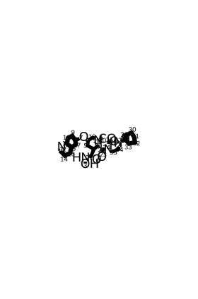 O=C(NO)C1CC(Oc2ccc3ncccc3c2)CN(C(=O)O)[C@@H]1C(=O)N1CCN(c2ccccc2)CC1